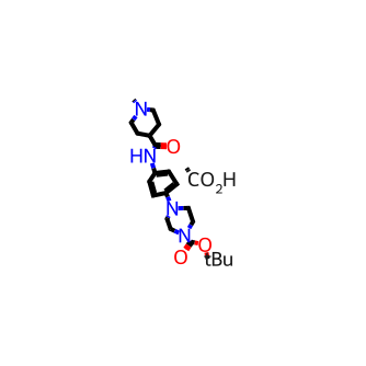 CC(=O)O.CN1CCC(C(=O)Nc2ccc(N3CCN(C(=O)OC(C)(C)C)CC3)cc2)CC1